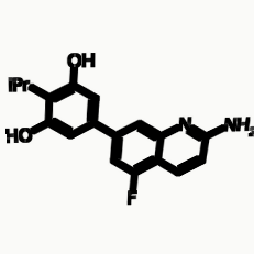 CC(C)c1c(O)cc(-c2cc(F)c3ccc(N)nc3c2)cc1O